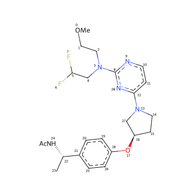 COCCN(CC(F)F)c1nccc(N2CC[C@@H](Oc3ccc([C@H](C)NC(C)=O)cc3)C2)n1